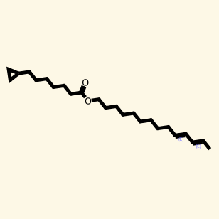 C/C=C/C=C/CCCCCCCCCOC(=O)CCCCCCC1CC1